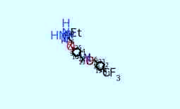 CCN1NNN=C1COc1ccc(C(C)=NOCc2ccc(C(F)(F)F)cc2)cc1